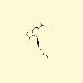 CCCCCC(=O)C=CC1CCC(=O)C1CC#CCCCCC(=O)O